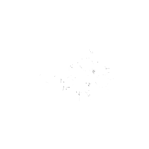 CC(C)=CCn1nc2c(c1C(C)C)C(c1ccc(Cl)cc1C)N(c1cccc(Cl)c1F)C(=O)N2